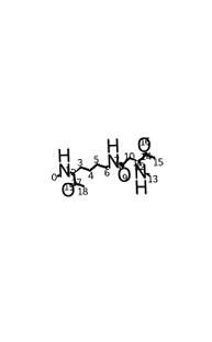 CN[C@@H](CCCCNC(=O)C[C@H](NC)C(C)=O)C(C)=O